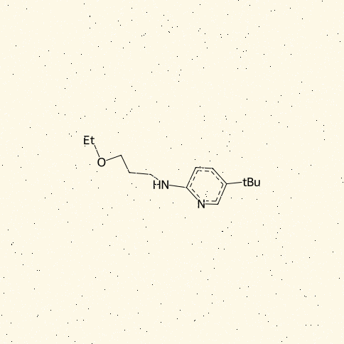 CCOCCCNc1ccc(C(C)(C)C)cn1